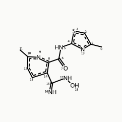 Cc1csc(NC(=O)c2nc(C)ccc2C(=N)NO)n1